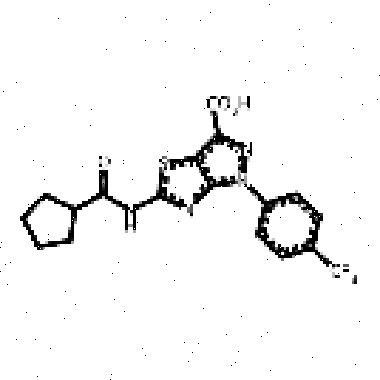 O=C(O)c1nn(-c2ccc(C(F)(F)F)cc2)c2nc(NC(=O)C3CCCC3)sc12